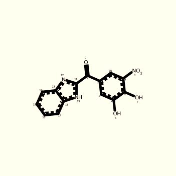 O=C(c1cc(O)c(O)c([N+](=O)[O-])c1)c1nc2ccccc2[nH]1